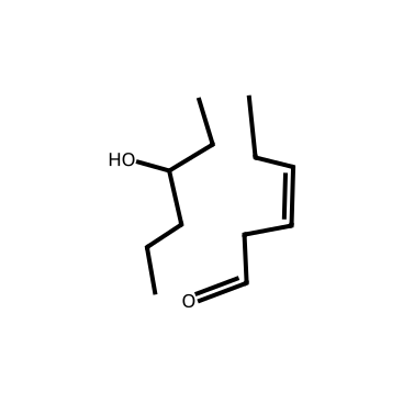 CC/C=C\CC=O.CCCC(O)CC